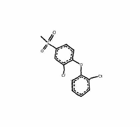 CS(=O)(=O)c1ccc(Oc2[c]cccc2Cl)c(Cl)c1